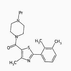 Cc1cccc(-c2nc(C)c(C(=O)N3CCN(C(C)C)CC3)s2)c1C